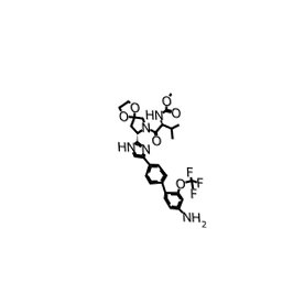 COC(=O)N[C@H](C(=O)N1CC2(C[C@H]1c1nc(-c3ccc(-c4ccc(N)cc4OC(F)(F)F)cc3)c[nH]1)OCCO2)C(C)C